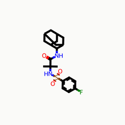 CC(C)(NS(=O)(=O)c1ccc(F)cc1)C(=O)NC1C2CC3CC(C2)CC1C3